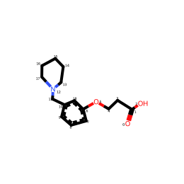 O=C(O)CCOc1cccc(CN2CCCCC2)c1